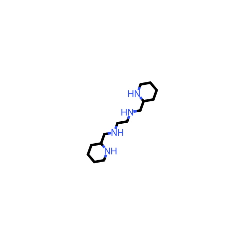 C1CCC(CNCCNCC2CCCCN2)NC1